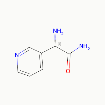 NC(=O)[C@@H](N)c1cccnc1